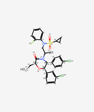 CCC(CN(c1ccccc1F)S(=O)(=O)C1CC1)N1C(=O)[C@H](CC(=O)O)O[C@H](c2cccc(Cl)c2)[C@H]1c1ccc(Cl)cc1